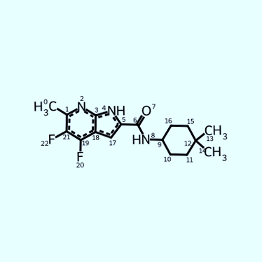 Cc1nc2[nH]c(C(=O)NC3CCC(C)(C)CC3)cc2c(F)c1F